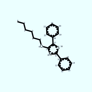 CCCCCCOc1nc(-c2ccccc2)sc1-c1ccccc1